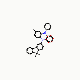 Cc1ccc(N(c2ccccc2)c2ccc3c(c2)-c2ccccc2C3(C)C)c(N(c2ccccc2)c2ccccc2)c1